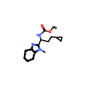 Cn1c(C(CCC2CC2)NC(=O)OC(C)(C)C)nc2ccccc21